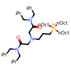 CCCCCCCC[PH](CCCCCCCC)(CCCCCCCC)CCCN(CC(=O)N(CC(C)C)CC(C)C)CC(=O)N(CC(C)C)CC(C)C